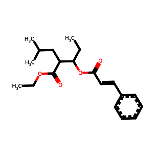 CCOC(=O)C(CC(C)C)C(CC)OC(=O)/C=C/c1ccccc1